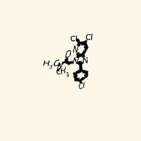 CN(C)C(=O)Cn1c(-c2ccc(Cl)cc2)nc2cc(Cl)c(Cl)nc21